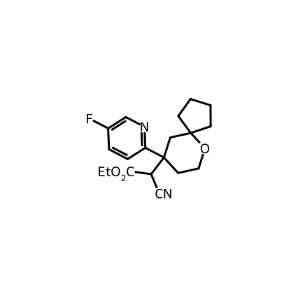 CCOC(=O)C(C#N)C1(c2ccc(F)cn2)CCOC2(CCCC2)C1